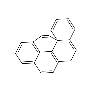 C1=CC2=CCc3ccc4cccc5c4c3C2(C=C1)C=C5